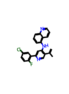 C=C(C)c1cnc(-c2cc(Cl)ccc2F)cc1Nc1cccc2ncccc12